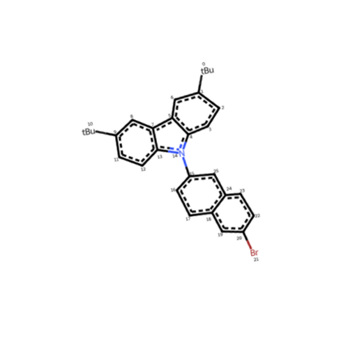 CC(C)(C)c1ccc2c(c1)c1cc(C(C)(C)C)ccc1n2-c1ccc2cc(Br)ccc2c1